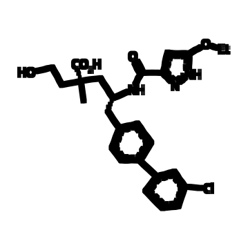 CCOc1cc(C(=O)N[C@H](Cc2ccc(-c3cccc(Cl)c3)cc2)C[C@@](C)(CCO)C(=O)O)n[nH]1